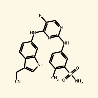 Cc1ccc(Nc2ncc(F)c(Nc3ccc4c(CC#N)c[nH]c4c3)n2)cc1S(N)(=O)=O